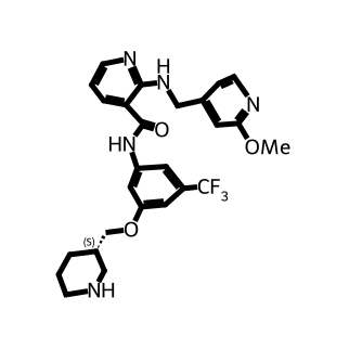 COc1cc(CNc2ncccc2C(=O)Nc2cc(OC[C@H]3CCCNC3)cc(C(F)(F)F)c2)ccn1